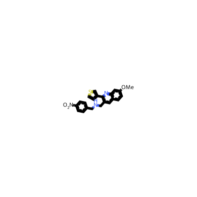 COc1ccc2cc(CNCc3ccc([N+](=O)[O-])cc3)c(-c3ccsc3)nc2c1